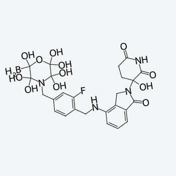 BC1(O)OC(O)(O)C(O)(O)N(Cc2ccc(CNc3cccc4c3CN(C3(O)CCC(=O)NC3=O)C4=O)c(F)c2)C1(O)O